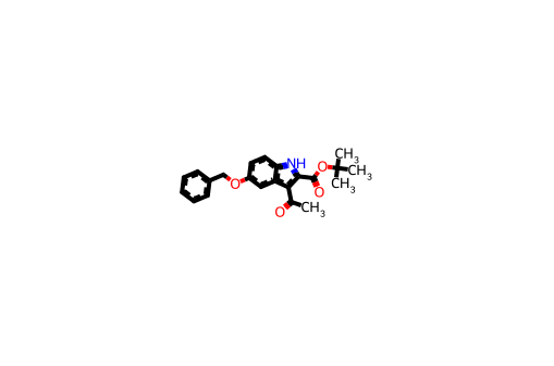 CC(=O)c1c(C(=O)OC(C)(C)C)[nH]c2ccc(OCc3ccccc3)cc12